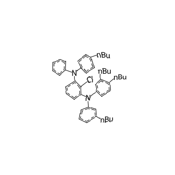 CCCCc1ccc(N(c2ccccc2)c2cccc(N(c3cccc(CCCC)c3)c3ccc(CCCC)c(CCCC)c3)c2Cl)cc1